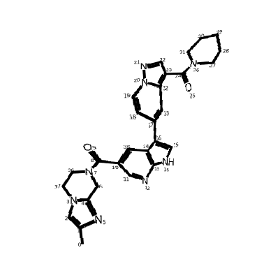 Cc1cn2c(n1)CN(C(=O)c1cnc3[nH]cc(-c4ccn5ncc(C(=O)N6CCCCC6)c5c4)c3c1)CC2